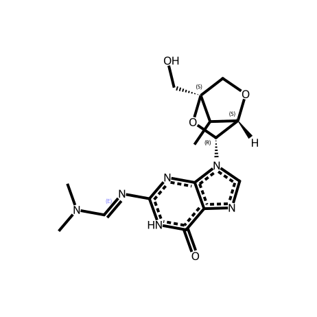 CC1[C@@H]2OC[C@]1(CO)O[C@H]2n1cnc2c(=O)[nH]c(/N=C/N(C)C)nc21